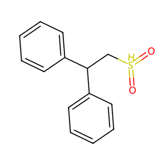 O=[SH](=O)CC(c1ccccc1)c1ccccc1